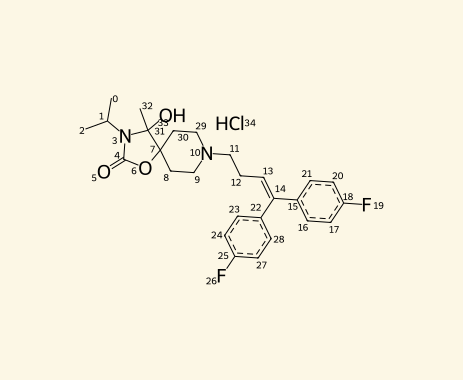 CC(C)N1C(=O)OC2(CCN(CCC=C(c3ccc(F)cc3)c3ccc(F)cc3)CC2)C1(C)O.Cl